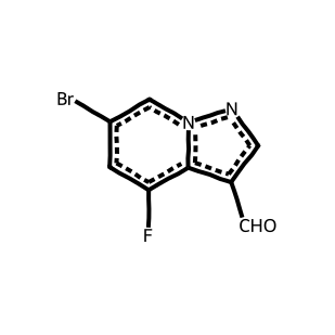 O=Cc1cnn2cc(Br)cc(F)c12